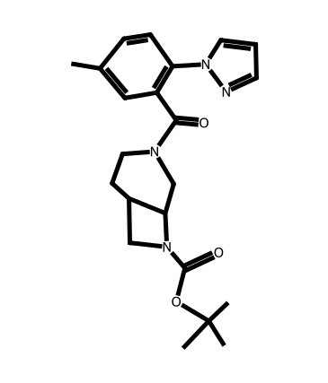 Cc1ccc(-n2cccn2)c(C(=O)N2CCC3CN(C(=O)OC(C)(C)C)C3C2)c1